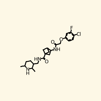 CC1CCC(CNC(=O)C23CC(C2)C(NC(=O)COc2ccc(Cl)c(F)c2)C3)C(C)N1